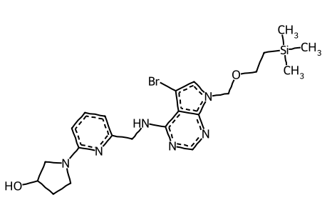 C[Si](C)(C)CCOCn1cc(Br)c2c(NCc3cccc(N4CCC(O)C4)n3)ncnc21